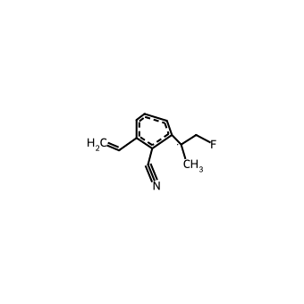 C=Cc1cccc([C](C)CF)c1C#N